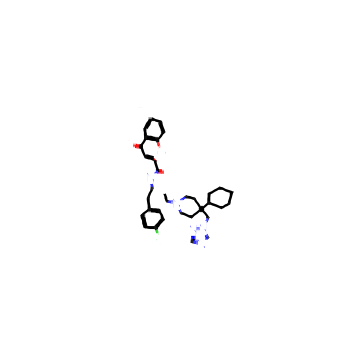 CCc1ccc2oc(C(=O)N[C@H](CCN3CCC(Cn4cncn4)(C4CCCCC4)CC3)Cc3ccc(Cl)cc3)cc(=O)c2c1